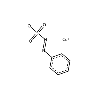 O=S(=O)([O-])N=Nc1ccccc1.[Cu+]